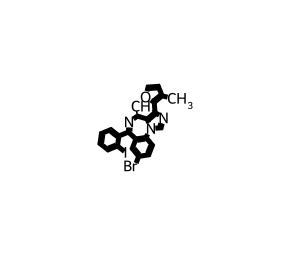 Cc1ccoc1-c1ncn2c1[C@@H](C)N=C(c1ccccc1I)c1cc(Br)ccc1-2